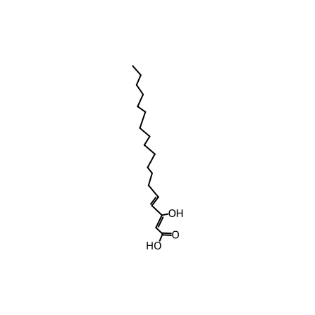 CCCCCCCCCCCCCC=CC(O)=CC(=O)O